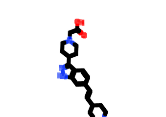 O=C(O)CN1CCC(c2n[nH]c3cc(C=CC4CCNCC4)ccc23)CC1